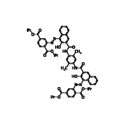 Cc1cc(NC(=O)c2cc3ccccc3c(N=Nc3cc(C(=O)OC(C)C)ccc3C(=O)OC(C)C)c2O)c(C)cc1NC(=O)c1cc2ccccc2c(N=Nc2cc(C(=O)OC(C)C)ccc2C(=O)OC(C)C)c1O